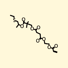 C=CC(=O)OCCOC(=O)CCC(=O)OCC(C)(C)C(=O)OC(C)CSCC